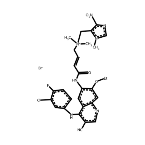 CCOc1cc2ncc(C#N)c(Nc3ccc(F)c(Cl)c3)c2cc1NC(=O)/C=C/C[N+](C)(C)Cc1c([N+](=O)[O-])ncn1C.[Br-]